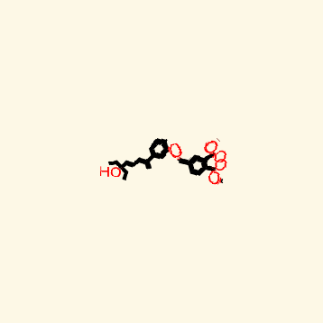 CCC(O)(/C=C/C=C(\C)c1cccc(OCc2ccc(C(=O)OC)c(C(=O)OC)c2)c1)CC